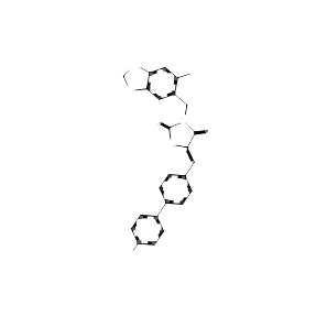 Cc1ccc(-c2ccc(/C=C3\SC(=O)N(Cc4cc5c(cc4Cl)OCO5)C3=O)cc2)cc1